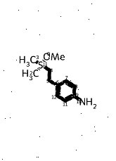 CO[Si](C)(C)CCc1ccc(N)cc1